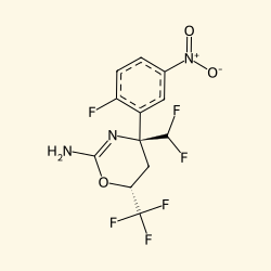 NC1=N[C@@](c2cc([N+](=O)[O-])ccc2F)(C(F)F)C[C@H](C(F)(F)F)O1